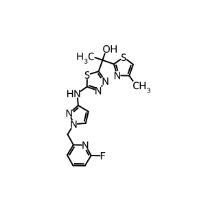 Cc1csc(C(C)(O)c2nnc(Nc3ccn(Cc4cccc(F)n4)n3)s2)n1